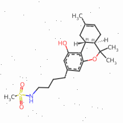 CC1=CC[C@@H]2[C@@H](C1)c1c(O)cc(CCCCNS(C)(=O)=O)cc1OC2(C)C